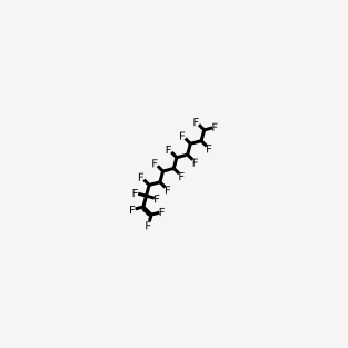 FC(F)=C(F)C(F)(F)C(F)C(F)C(F)C(F)C(F)C(F)C(F)C(F)C(F)F